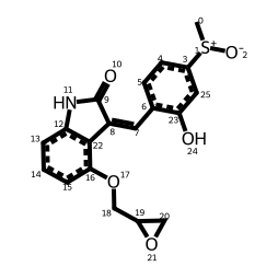 C[S+]([O-])c1ccc(C=C2C(=O)Nc3cccc(OCC4CO4)c32)c(O)c1